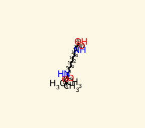 CC(C)(C)OC(=O)NCCCCCCCCNCC(=O)O